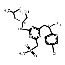 CC(C)C[C@H](CO)Nc1nc(C[C@@H](C)c2ccc(Cl)cn2)nc(CS(N)(=O)=O)n1